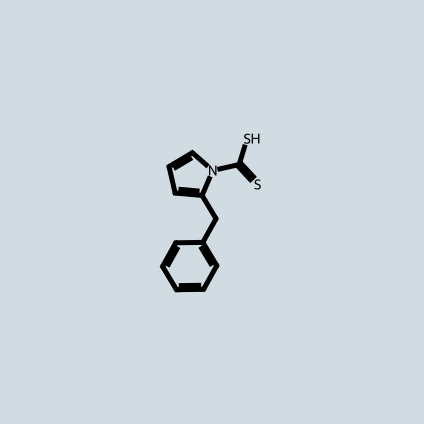 S=C(S)n1cccc1Cc1ccccc1